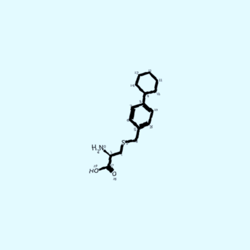 N[C@@H](CSCc1ccc(C2CCCCC2)cc1)C(=O)O